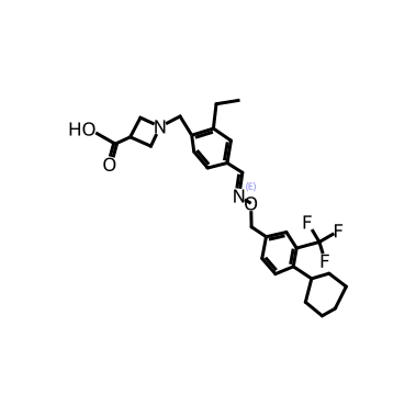 CCc1cc(/C=N/OCc2ccc(C3CCCCC3)c(C(F)(F)F)c2)ccc1CN1CC(C(=O)O)C1